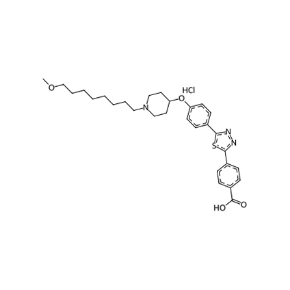 COCCCCCCCCN1CCC(Oc2ccc(-c3nnc(-c4ccc(C(=O)O)cc4)s3)cc2)CC1.Cl